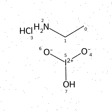 CCN.Cl.[O-][I+2]([O-])O